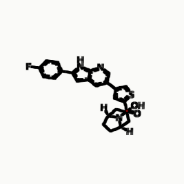 O=C(c1cc(-c2cnc3[nH]c(-c4ccc(F)cc4)cc3c2)cs1)N1[C@@H]2CC[C@H]1CC(O)C2